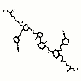 Cc1c(COc2ccc(CNCCCC(=O)O)c(OCc3cncc(C#N)c3)c2)cccc1-c1cccc(COc2ccc(CNCCCC(=O)O)c(OCc3cncc(C#N)c3)c2)c1C